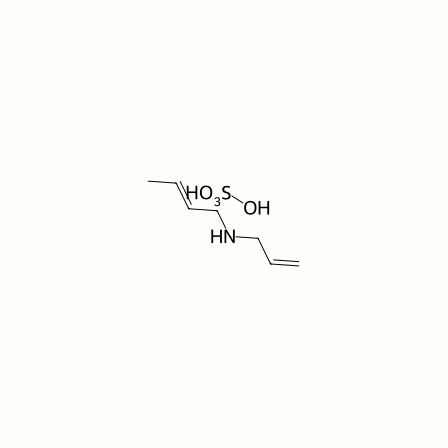 C=CCNCC=CC.O=S(=O)(O)O